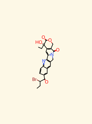 CCC(Br)C(=O)c1ccc2nc3c(cc2c1)Cn1c-3cc2c(c1=O)COC(=O)[C@]2(O)CC